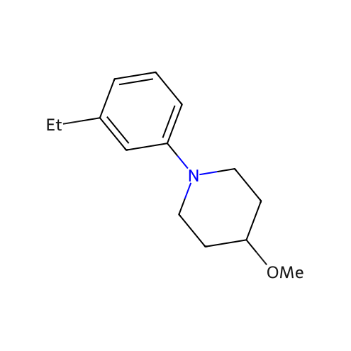 CCc1cccc(N2CCC(OC)CC2)c1